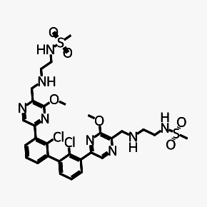 COc1nc(-c2cccc(-c3cccc(-c4cnc(CNCCNS(C)(=O)=O)c(OC)n4)c3Cl)c2Cl)cnc1CNCCNS(C)(=O)=O